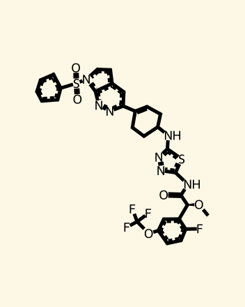 CO[C@H](C(=O)Nc1nnc(NC2CC=C(c3cc4ccn(S(=O)(=O)c5ccccc5)c4nn3)CC2)s1)c1cc(OC(F)(F)F)ccc1F